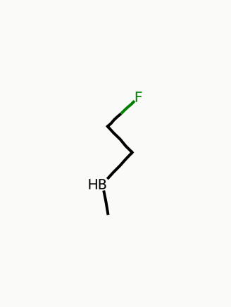 CBCCF